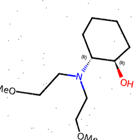 COCCN(CCOC)[C@@H]1CCCC[C@H]1O